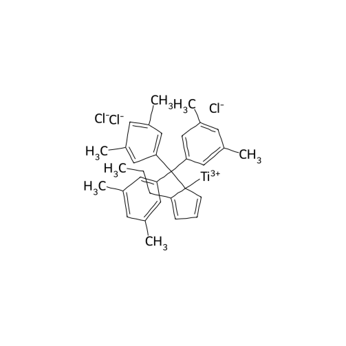 CCCC1=CC=C[C]1([Ti+3])C(c1cc(C)cc(C)c1)(c1cc(C)cc(C)c1)c1cc(C)cc(C)c1.[Cl-].[Cl-].[Cl-]